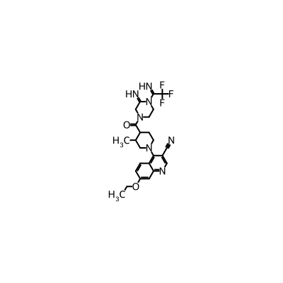 CCOc1ccc2c(N3CCC(C(=O)N4CCN(C(=N)C(F)(F)F)C(=N)C4)C(C)C3)c(C#N)cnc2c1